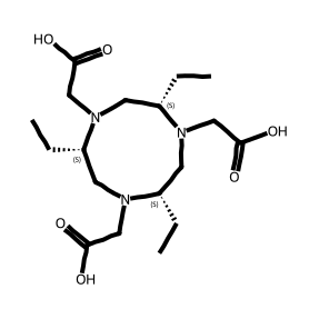 CC[C@H]1CN(CC(=O)O)[C@@H](CC)CN(CC(=O)O)[C@@H](CC)CN1CC(=O)O